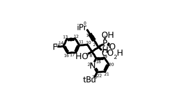 CC(C)C#CC(C(=O)O)([PH](=O)O)C(O)(Cc1ccc(F)cc1)c1cccc(C(C)(C)C)n1